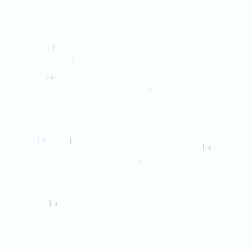 O=P(O)(O)OCC(CCBr)(CCBr)C(CC(Cl)CCBr)CC(Cl)CCBr